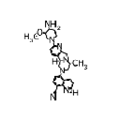 [2H]c1ccc2c(N3C[C@@H](C)N4Cc5nc(N6CCC(N)C(OC)C6)ccc5[C@H]4C3)ccc(C#N)c2n1